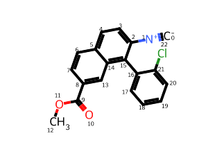 [C-]#[N+]c1ccc2ccc(C(=O)OC)cc2c1-c1ccccc1Cl